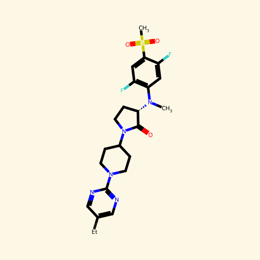 CCc1cnc(N2CCC(N3CC[C@H](N(C)c4cc(F)c(S(C)(=O)=O)cc4F)C3=O)CC2)nc1